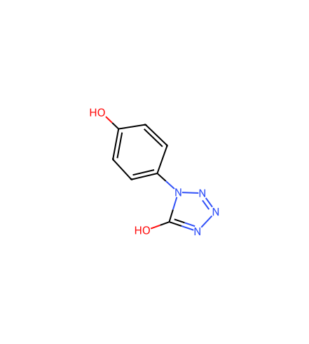 Oc1ccc(-n2nnnc2O)cc1